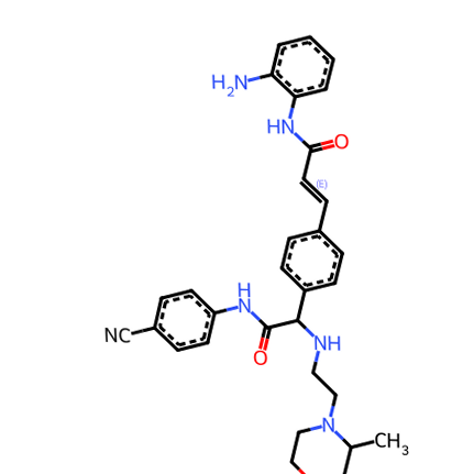 CC1COCCN1CCNC(C(=O)Nc1ccc(C#N)cc1)c1ccc(/C=C/C(=O)Nc2ccccc2N)cc1